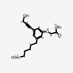 CCCCCCCCCCCCCCCc1cc(C#CCO)cc(OCC(CC)CCCC)c1